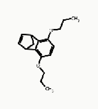 CCCOc1ccc(OCCC)c2c1C1C=CC2C1